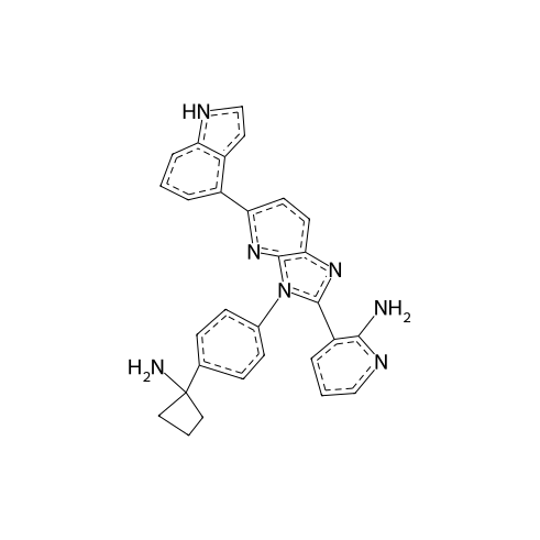 Nc1ncccc1-c1nc2ccc(-c3cccc4[nH]ccc34)nc2n1-c1ccc(C2(N)CCC2)cc1